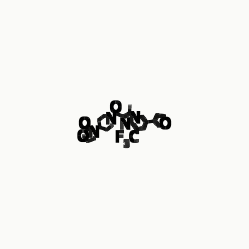 Cc1c(C(=O)N2CCC(N3CCOC3=O)CC2)nc2c(C(F)(F)F)cc(-c3ccoc3)cn12